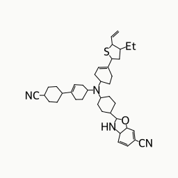 C=CC1SC(C2=CCC(N(C3CC=C(C4CCC(C#N)CC4)CC3)C3CCC(C4NC5C=CC(C#N)=CC5O4)CC3)CC2)CC1CC